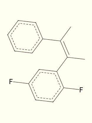 C/C(=C(\C)c1cc(F)ccc1F)c1ccccc1